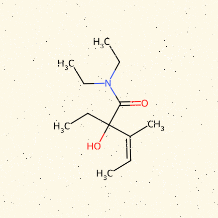 CC=C(C)C(O)(CC)C(=O)N(CC)CC